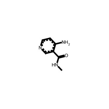 CNC(=O)c1[c]nccc1N